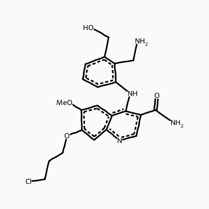 COc1cc2c(Nc3cccc(CO)c3CN)c(C(N)=O)cnc2cc1OCCCCl